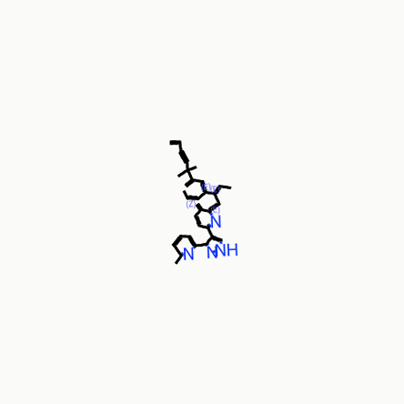 C=CC#CC(C)(C)C(=C)/C=C(\C=C/C)C(=C/C)/C=c1/nc(-c2c[nH]nc2-c2cccc(C)n2)ccc1=C